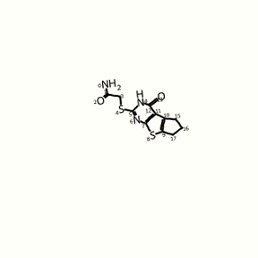 NC(=O)CSc1nc2sc3c(c2c(=O)[nH]1)CCC3